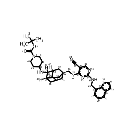 CC(C)(C)OC(=O)N1CCC(N[C@@H]2[C@@H]3CC4C[C@H]2C[C@@](CNc2nc(NCc5cccc6ccsc56)ncc2C#N)(C4)C3)CC1